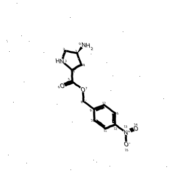 N[C@@H]1CNC(C(=O)OCc2ccc([N+](=O)[O-])cc2)C1